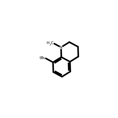 CN1CCCc2cccc(C(C)(C)C)c21